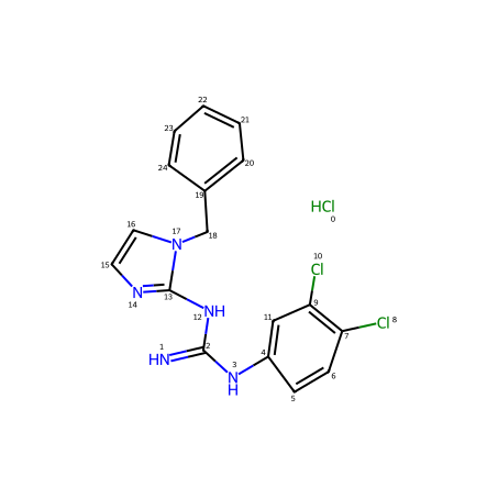 Cl.N=C(Nc1ccc(Cl)c(Cl)c1)Nc1nccn1Cc1ccccc1